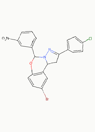 O=[N+]([O-])c1cccc(C2Oc3ccc(Br)cc3C3CC(c4ccc(Cl)cc4)=NN32)c1